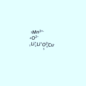 [Cu].[Li+].[Li+].[Mn+2].[O-2].[O-2]